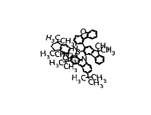 Cc1cc2c(cc1N1B3c4c(cc5c(c4-n4c6ccc(C(C)(C)C)cc6c6cc(C(C)(C)C)cc3c64)-c3ccccc3C5(C)C)-c3c1ccc1oc4ccccc4c31)C(C)(C)CCC2(C)C